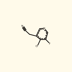 N#CCc1cncc(F)c1Cl